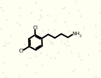 NCCCCc1ccc(Cl)cc1Cl